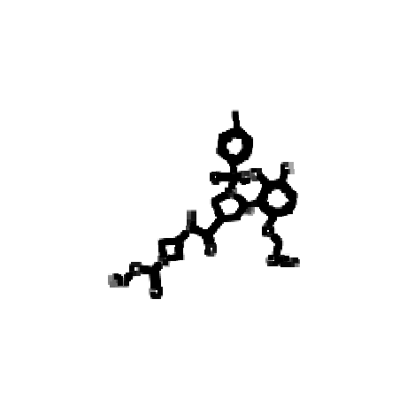 COCOc1ccc(Cl)c(Cl)c1[C@H]1CC(C(=O)NC2CN(C(=O)OC(C)(C)C)C2)CN1S(=O)(=O)c1ccc(C)cc1